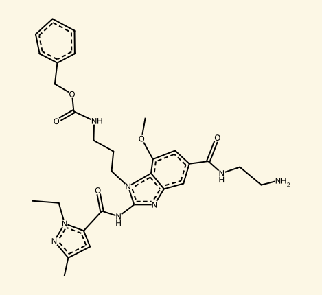 CCn1nc(C)cc1C(=O)Nc1nc2cc(C(=O)NCCN)cc(OC)c2n1CCCNC(=O)OCc1ccccc1